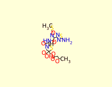 CSCON=C(C(=O)NC1C(=O)N2CC(COC(=O)CC(C)=O)(C(=O)O)CS[C@H]12)c1nsc(N)n1